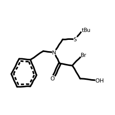 CC(C)(C)SCN(Cc1ccccc1)C(=O)C(Br)CO